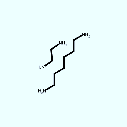 NCCCCCCN.NCCN